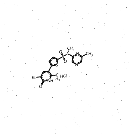 CCc1cc(-c2ccc(S(=O)(=O)N(C)c3cncc(C)n3)s2)c(C)[nH]c1=O.Cl